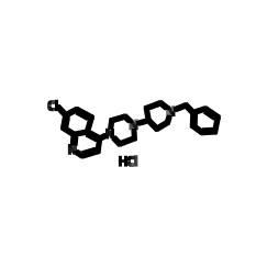 Cl.Clc1ccc2c(N3CCN(C4CCN(Cc5ccccc5)CC4)CC3)ccnc2c1